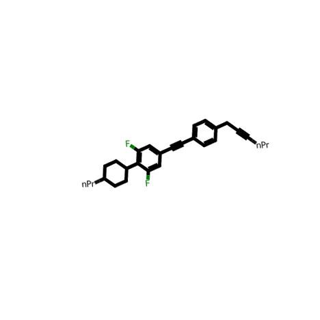 CCCC#CCc1ccc(C#Cc2cc(F)c(C3CCC(CCC)CC3)c(F)c2)cc1